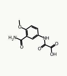 COc1ccc(NC(=O)C(=O)O)cc1C(N)=O